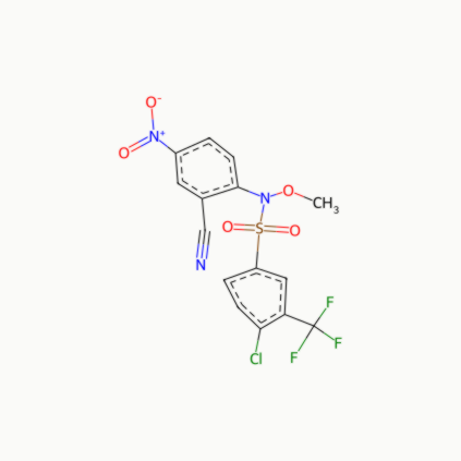 CON(c1ccc([N+](=O)[O-])cc1C#N)S(=O)(=O)c1ccc(Cl)c(C(F)(F)F)c1